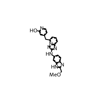 COCc1nc2ccc(Nc3nc4cccc(Cc5ccnc(O)c5)n4n3)cc2[nH]1